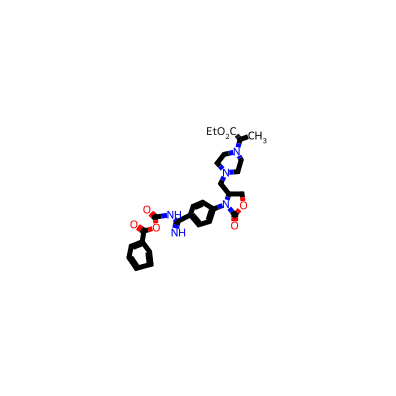 CCOC(=O)C(C)N1CCN(CC2COC(=O)N2c2ccc(C(=N)NC(=O)OC(=O)c3ccccc3)cc2)CC1